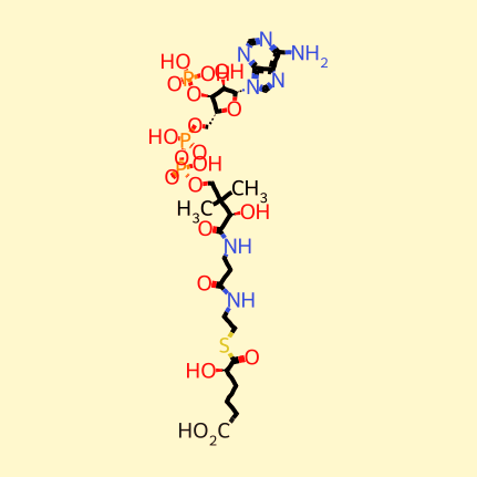 CC(C)(COP(=O)(O)OP(=O)(O)OC[C@H]1O[C@@H](n2cnc3c(N)ncnc32)[C@H](O)[C@@H]1OP(=O)(O)O)[C@@H](O)C(=O)NCCC(=O)NCCSC(=O)[C@H](O)CCCC(=O)O